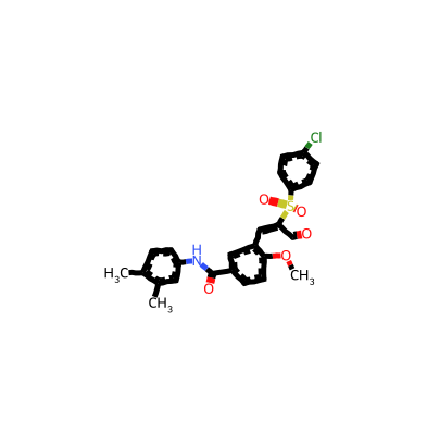 COc1ccc(C(=O)Nc2ccc(C)c(C)c2)cc1/C=C(\C=O)S(=O)(=O)c1ccc(Cl)cc1